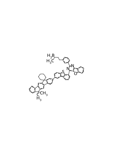 BC(C)CCc1cccc(-c2nc(-c3cccc4c3sc3ccc(-c5ccc6c(c5)C5(CCCCC5)c5cc7c(cc5-6)C(C)(C)c5ccccc5-7)cc34)c3oc4ccccc4c3n2)c1